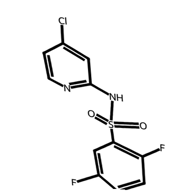 O=S(=O)(Nc1cc(Cl)ccn1)c1cc(F)ccc1F